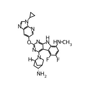 CNc1cc(F)c(F)c2c1[nH]c1nc(Oc3cnc4c(c3)ncn4C3CC3)nc(N3CC4C[C@@H]3C[C@H]4N)c12